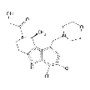 C[C@H]1c2c([nH]c3c(Cl)c(Cl)cc(CN4CCOCC4)c23)CCN1C(=O)CO